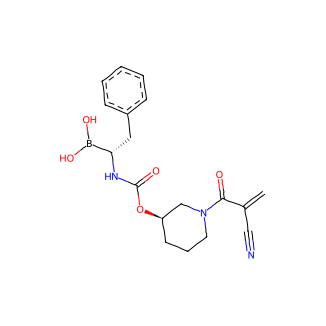 C=C(C#N)C(=O)N1CCC[C@@H](OC(=O)N[C@@H](Cc2ccccc2)B(O)O)C1